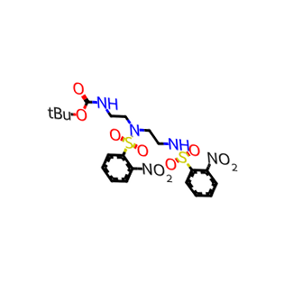 CC(C)(C)OC(=O)NCCN(CCNS(=O)(=O)c1ccccc1[N+](=O)[O-])S(=O)(=O)c1ccccc1[N+](=O)[O-]